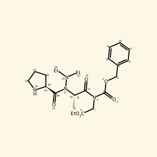 CCOC(=O)CN(C(=O)OCc1ccccc1)C(=O)[C@H](C)N(C(=O)[C@@H]1CCCN1)N(CC)CC